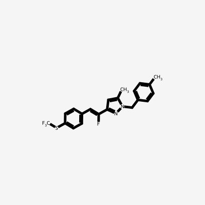 Cc1ccc(Cn2nc(/C(F)=C/c3ccc(SC(F)(F)F)cc3)cc2C)cc1